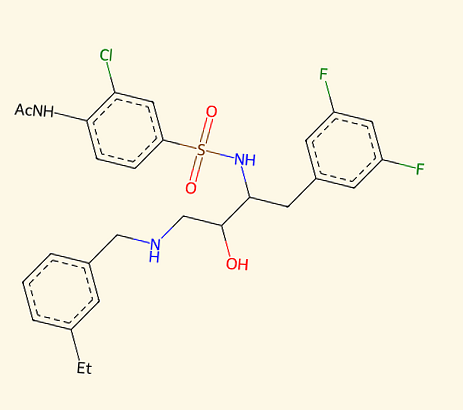 CCc1cccc(CNCC(O)C(Cc2cc(F)cc(F)c2)NS(=O)(=O)c2ccc(NC(C)=O)c(Cl)c2)c1